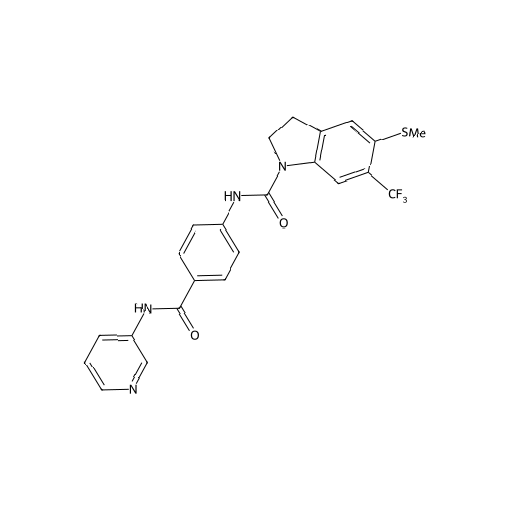 CSc1cc2c(cc1C(F)(F)F)N(C(=O)Nc1ccc(C(=O)Nc3cccnc3)cc1)CC2